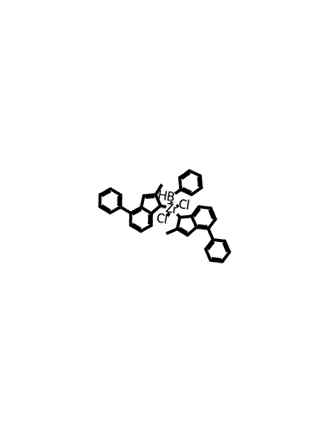 CC1=Cc2c(-c3ccccc3)cccc2[CH]1[Zr]([Cl])([Cl])([BH]c1ccccc1)[CH]1C(C)=Cc2c(-c3ccccc3)cccc21